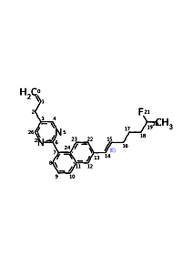 C=CCc1cnc(-c2cccc3cc(/C=C/CCCC(C)F)ccc23)nc1